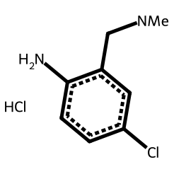 CNCc1cc(Cl)ccc1N.Cl